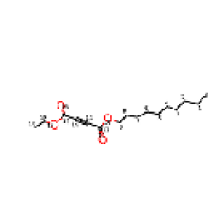 CCCCCCCCCCOC(=O)C#CC(=O)OCC